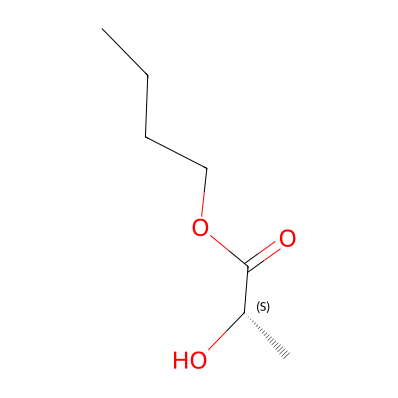 CCCCOC(=O)[C@H](C)O